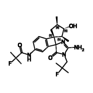 C[C@@H]1C[C@@]2(c3ccc(NC(=O)C(C)(C)F)cc3C23N=C(N)N(CC(C)(C)F)C3=O)[C@H](C)[C@H]1O